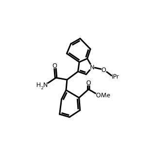 COC(=O)c1ccccc1C(C(N)=O)c1cn(OC(C)C)c2ccccc12